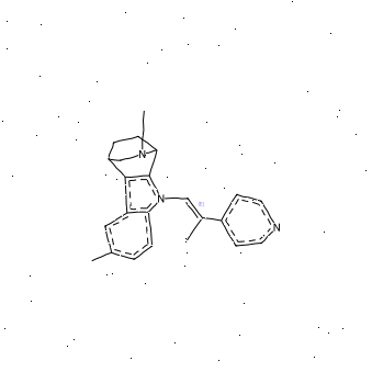 C/C(=C\n1c2c(c3cc(C)ccc31)C1CCC2N(C)C1)c1ccncc1